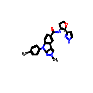 Cn1cc2c3cc(C(=O)N[C@@H]4CCO[C@H]4c4cc[nH]n4)ccc3n(-c3ccc(C(F)(F)F)cc3)c2n1